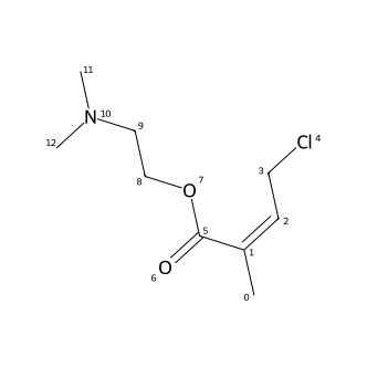 CC(=CCCl)C(=O)OCCN(C)C